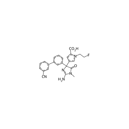 CN1C(=O)C(c2cccc(-c3cccc(C#N)c3)c2)(c2cc(C(=O)O)n(CCF)c2)N=C1N